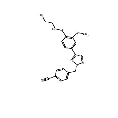 COc1cc(-c2nnn(Cc3ccc(C#N)cc3)n2)ccc1SNCCO